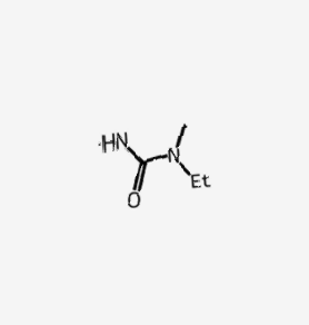 CCN(C)C([NH])=O